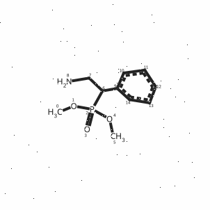 COP(=O)(OC)C(CN)c1ccccc1